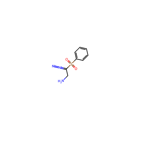 [N-]=[N+]=C(CN)S(=O)(=O)c1ccccc1